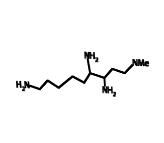 CNCCC(N)C(N)CCCCCN